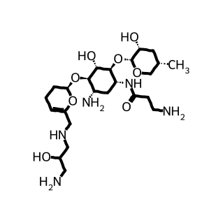 C[C@@H]1CO[C@H](O[C@@H]2[C@@H](O)[C@H](O[C@@H]3CCC=C(CNCC(O)CN)O3)[C@@H](N)C[C@H]2NC(=O)CCN)[C@H](O)C1